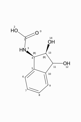 O=C(O)N[C@@H]1c2ccccc2C(O)[C@@H]1O